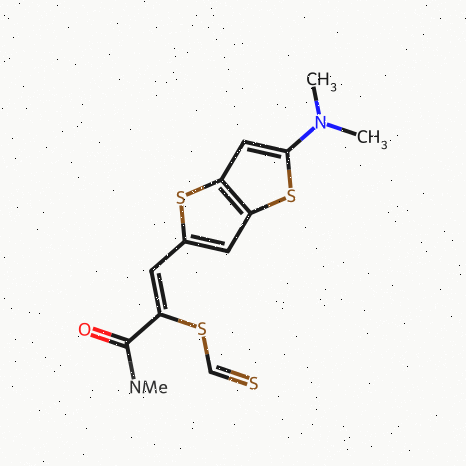 CNC(=O)/C(=C/c1cc2sc(N(C)C)cc2s1)SC=S